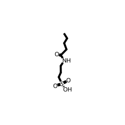 CCCCC(=O)NCCCS(=O)(=O)O